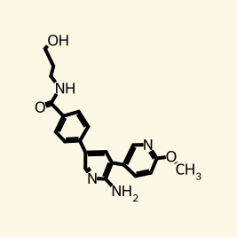 COc1ccc(-c2cc(-c3ccc(C(=O)NCCCO)cc3)cnc2N)cn1